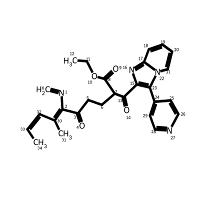 C=N/C(C(=O)CCC(C(=O)OCC)C(=O)c1nc2ccccn2c1-c1ccncc1)=C(C)\C=C/C